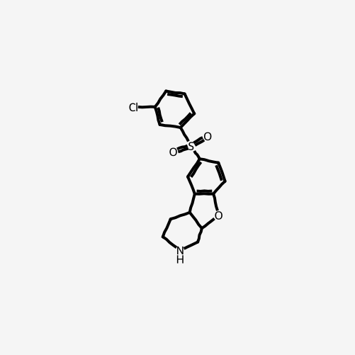 O=S(=O)(c1cccc(Cl)c1)c1ccc2c(c1)C1CCNCC1O2